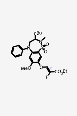 CCCCC1CN(c2ccccc2)c2cc(OC)c(O/C=C(\F)C(=O)OCC)cc2S(=O)(=O)N1C